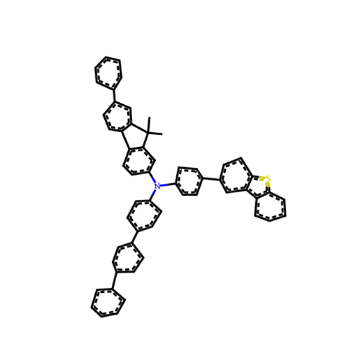 CC1(C)c2cc(-c3ccccc3)ccc2-c2ccc(N(c3ccc(-c4ccc(-c5ccccc5)cc4)cc3)c3ccc(-c4ccc5sc6ccccc6c5c4)cc3)cc21